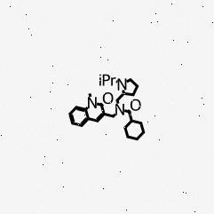 CC(C)N1CCCC1CN(Cc1cc2ccccc2n(C)c1=O)C(=O)C1CCCCC1